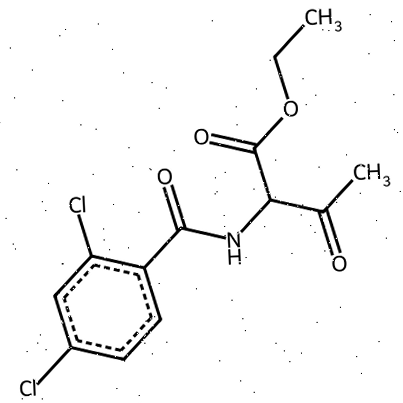 CCOC(=O)C(NC(=O)c1ccc(Cl)cc1Cl)C(C)=O